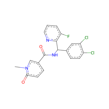 Cn1cc(C(=O)NC(c2ccc(Cl)c(Cl)c2)c2ncccc2F)ccc1=O